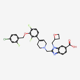 O=C(O)c1ccc2nc(CN3CC=C(c4ccc(F)c(OCc5ccc(Cl)cc5F)c4F)CC3)n(CC3CCO3)c2c1